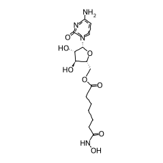 Nc1ccn([C@@H]2O[C@H](COC(=O)CCCCCC(=O)NO)[C@@H](O)[C@@H]2O)c(=O)n1